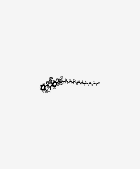 CCCCCCCCCCCCCCCCCCN(C)S(=O)(=O)c1ccc(NCc2ccccc2C)c([N+](=O)[O-])c1